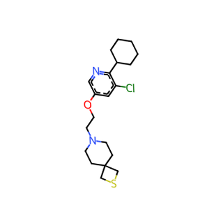 Clc1cc(OCCN2CCC3(CC2)CSC3)cnc1C1CCCCC1